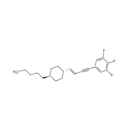 CCCCC[C@H]1CC[C@H](C=CC#Cc2cc(F)c(F)c(F)c2)CC1